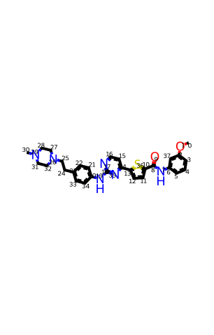 COc1cccc(NC(=O)c2ccc(-c3ccnc(Nc4ccc(CCN5CCN(C)CC5)cc4)n3)s2)c1